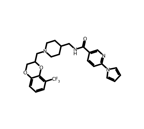 O=C(NCC1CCN(CC2COc3cccc(C(F)(F)F)c3O2)CC1)c1ccc(-n2cccc2)nc1